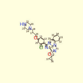 CC1(Oc2ncnc3c2nc(-c2ccc(OCCCN4CCNCC4)cc2Cl)n3Cc2ccccc2)CC1